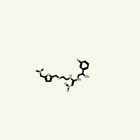 CN(C)Cc1ccc(CSCCNC(=C[N+](=O)[O-])NCC(O)c2cccc(F)c2)o1